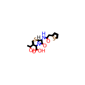 CC(O)C1=CS[C@H]2C(NC(=O)Cc3cccs3)C(=O)N2C1C(=O)O